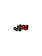 C1=CC2C=CC=C(c3ccccc3-c3ccccc3N(c3ccc(-c4cccc5ccccc45)cc3)c3ccccc3-c3ccc4oc5ccccc5c4c3)C2C=C1